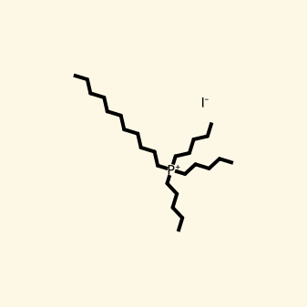 CCCCCCCCCCC[P+](CCCCC)(CCCCC)CCCCC.[I-]